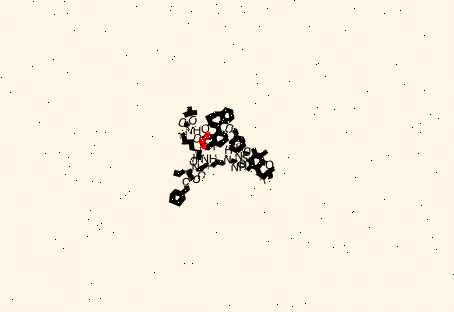 C=CC[C@H](NC(=O)[C@@H](CCCNC(=N)NS(=O)(=O)c1c(C)c(C)c2c(c1C)C[C@@H](C)C(C)(C)O2)NC(=O)[C@@H](CCC[C@H](C)NC(=O)OC(C)(C)C)NC(=O)COc1ccc2ccccc2c1-c1c(OCc2ccccc2)ccc2ccccc12)C(=O)OCc1ccccc1